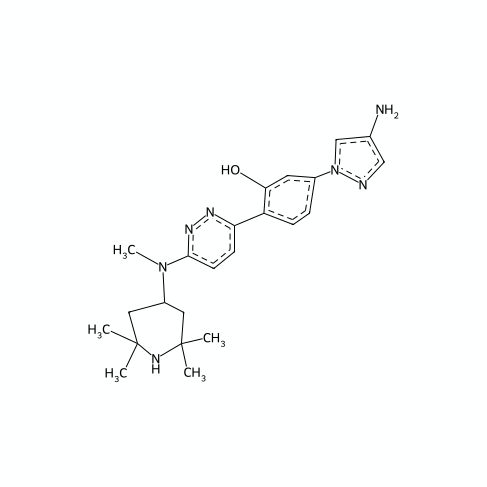 CN(c1ccc(-c2ccc(-n3cc(N)cn3)cc2O)nn1)C1CC(C)(C)NC(C)(C)C1